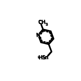 Cc1ccc([CH2][SnH])cn1